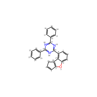 C1=Cc2oc3cccc(-c4nc(-c5ccccc5)nc(-c5ccccc5)n4)c3c2C1